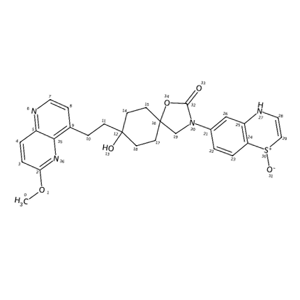 COc1ccc2nccc(CCC3(O)CCC4(CC3)CN(c3ccc5c(c3)NC=C[S+]5[O-])C(=O)O4)c2n1